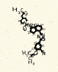 CC(=O)CC1CCN(C(=O)N[C@H]2CCc3c(-c4noc(-c5ccc(OC(C)C)c(C#N)c5)n4)cccc32)CC1